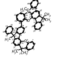 CC1(C)c2ccccc2Oc2c1ccc1c2-c2ccc(-c3cccc4c3Oc3c(ccc5c3-c3ccccc3C5(C)C)[Si]4(C)c3ccccc3)cc2C1(C)c1ccccc1